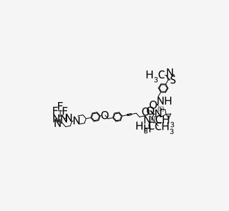 Cc1ncsc1-c1ccc(CNC(=O)[C@@H]2CC3(CC3)CN2C(=O)[C@@H](NC(=O)CCC#Cc2ccc(COc3ccc(C4CCN(C5=Nn6c(nnc6C(F)(F)F)CC5)CC4)cc3)cc2)C(C)(C)C)cc1